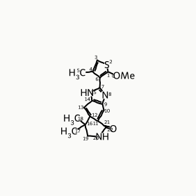 COc1scc(C)c1-c1nc2cc3c(cc2[nH]1)C(C)(C)CNC3=O